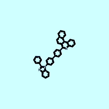 c1ccc(-c2nc3ccccc3n2-c2ccc(-c3ccc(-c4nc5ccccc5c5c4ccc4ccccc45)cc3)cc2)cc1